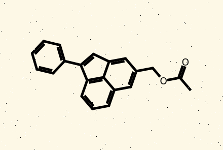 CC(=O)OCc1cc2c3c(cccc3c1)C(c1ccccc1)=C2